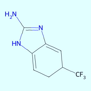 Nc1nc2c([nH]1)=CCC(C(F)(F)F)C=2